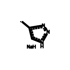 [CH2]c1c[nH]nn1.[NaH]